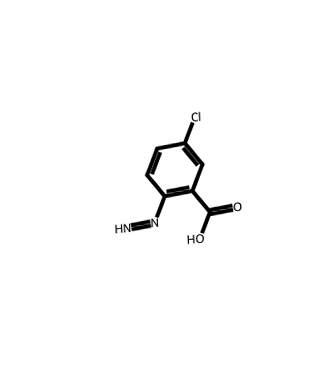 N=Nc1ccc(Cl)cc1C(=O)O